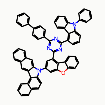 c1ccc(-c2ccc(-c3nc(-c4cc(-n5c6cc7ccccc7cc6c6c7ccccc7ccc65)cc5oc6ccccc6c45)nc(-c4cccc5c4c4ccccc4n5-c4ccccc4)n3)cc2)cc1